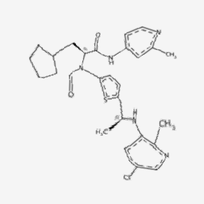 Cc1cc(NC(=O)[C@H](CC2CCCC2)N(C=O)c2ccc([C@H](C)Nc3cc(Cl)cnc3C)s2)ccn1